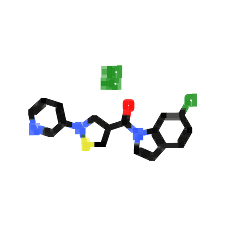 Cl.Cl.O=C(C1CSN(c2cccnc2)C1)n1ccc2ccc(Cl)cc21